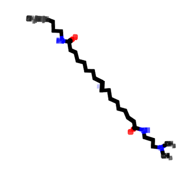 CN(C)CCCNC(=O)CCCCCCC/C=C/CCCCCCCC(=O)NCCCN(C)O